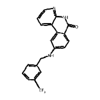 O=c1[nH]c2ncccc2c2cc(NCc3cccc(C(F)(F)F)c3)ccc12